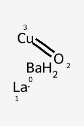 [BaH2].[La].[O]=[Cu]